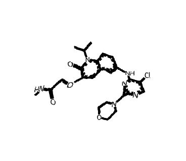 CNC(=O)COc1cc2cc(Nc3nc(N4CCOCC4)ncc3Cl)ccc2n(C(C)C)c1=O